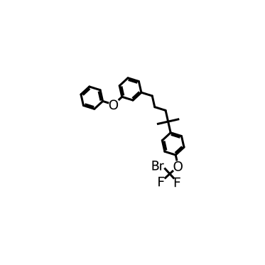 CC(C)(CCCc1cccc(Oc2ccccc2)c1)c1ccc(OC(F)(F)Br)cc1